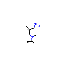 C=C(C)N(C)C[C@@H](C)CN